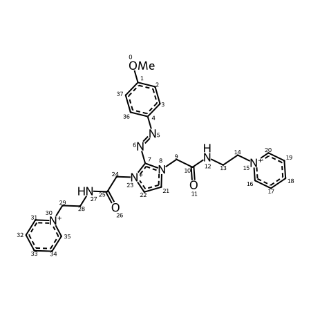 COc1ccc(/N=N/c2n(CC(=O)NCC[n+]3ccccc3)cc[n+]2CC(=O)NCC[n+]2ccccc2)cc1